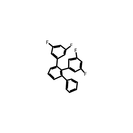 Fc1cc(F)cc(-c2cccc(-c3ccccc3)c2-c2cc(F)cc(F)c2)c1